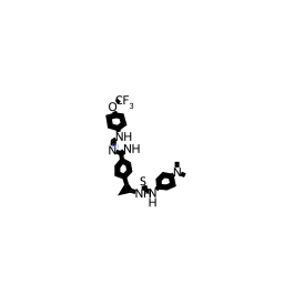 CN(C)c1ccc(NC(=S)NC2CC2c2ccc(C(=N)/N=C\Nc3ccc(OC(F)(F)F)cc3)cc2)cc1